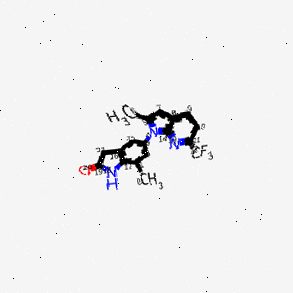 Cc1cc(-n2c(C)cc3ccc(C(F)(F)F)nc32)cc2c1NC(=O)C2